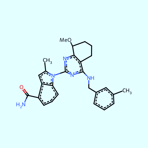 COC1CCCc2c(NCc3cccc(C)c3)nc(-n3c(C)cc4c(C(N)=O)cccc43)nc21